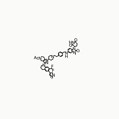 CC(=O)N1CCc2c(c(N3CCCc4cc(-c5cnn(C)c5)c(C(F)F)cc43)nn2C2CCN(CCc3ccc(CNc4ccc5c(c4)n(C)c(=O)n5C4CCC(=O)NC4=O)cc3)CC2)C1